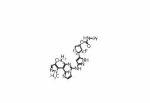 Cc1cnn(C)c1-c1c(C)nc(Nc2cc([C@H]3OC[C@@H](OC(=O)NC(C)C)[C@@H]3F)[nH]n2)n2ccnc12